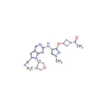 CC(=O)N1CC(Oc2nn(C)cc2Nc2ncc3cc(C#N)n([C@H]4COC[C@@H]4C)c3n2)C1